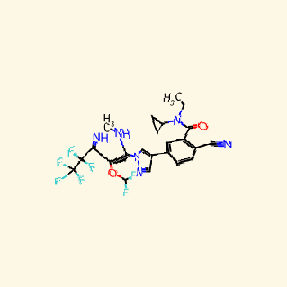 CCN(C(=O)c1cc(-c2cnn(/C(NC)=C(\OC(F)F)C(=N)C(F)(F)C(F)(F)F)c2)ccc1C#N)C1CC1